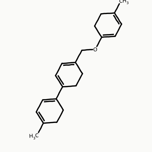 CC1=CC=C(OCC2=CC=C(C3=CC=C(C)CC3)CC2)CC1